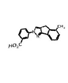 Cc1cccc2c1Cc1cn(-c3cccc(C(=O)O)c3)nc1-2